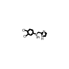 CC(C)N(Cc1ncc[nH]1)c1ccc(Cl)c(Cl)c1